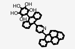 Oc1c(O)c(O)c(-c2c3ccccc3c(-c3ccc(-c4c5ccccc5c5ccc6cccc7ccc4c5c76)nc3)c3ccccc23)c(O)c1O